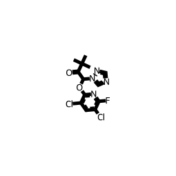 CC(C)(C)C(=O)C(Oc1nc(F)c(Cl)cc1Cl)n1cncn1